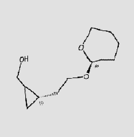 OCC1C[C@H]1CCO[C@@H]1CCCCO1